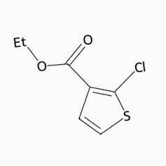 CCOC(=O)c1ccsc1Cl